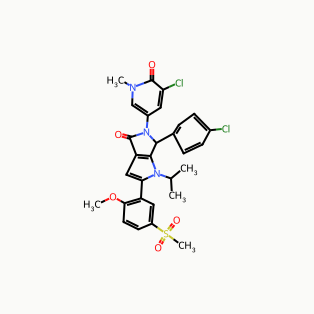 COc1ccc(S(C)(=O)=O)cc1-c1cc2c(n1C(C)C)C(c1ccc(Cl)cc1)N(c1cc(Cl)c(=O)n(C)c1)C2=O